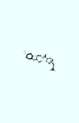 C=C(C1CCN(CC2CC2)CC1)N1CCC(Cc2ccc(F)cc2)CC1